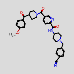 COc1ccc(C(=O)C2CCN(C(=O)c3ccc(C(=O)NC4CCN(Cc5ccc(C#N)cc5)CC4)nc3)CC2)cc1